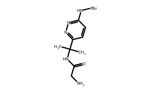 CC(C)(C)Nc1ccc(C(C)(C)NC(=O)CN)nn1